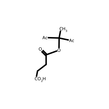 CC(=O)C(C)(OC(=O)CCC(=O)O)C(C)=O